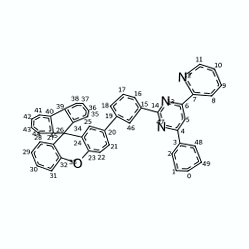 c1ccc(-c2cc(-c3ccccn3)nc(-c3cccc(-c4ccc5c(c4)C4(c6ccccc6O5)c5ccccc5-c5ccccc54)c3)n2)cc1